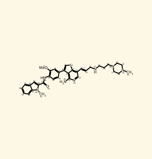 COc1cc(-c2csc3c(/C=C/CNCCCN4CCN(C)CC4)cnc(N)c23)ccc1NC(=O)c1cc2ccccc2n1C